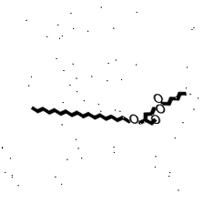 [CH2]CCCCC(=O)OCC1CC(COCCCCCCCCCCCCCCCCCC)CO1